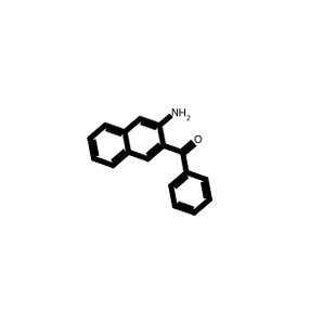 Nc1cc2ccccc2cc1C(=O)c1ccccc1